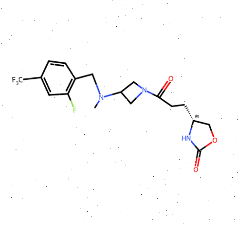 CN(Cc1ccc(C(F)(F)F)cc1F)C1CN(C(=O)CC[C@@H]2COC(=O)N2)C1